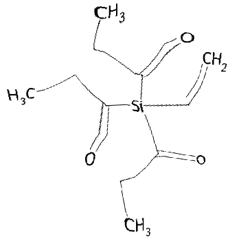 C=C[Si](C(=O)CC)(C(=O)CC)C(=O)CC